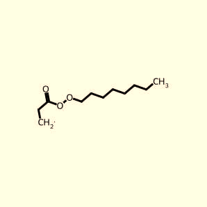 [CH2]CC(=O)OOCCCCCCCC